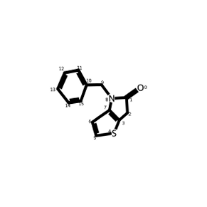 O=C1Cc2sccc2N1Cc1ccccc1